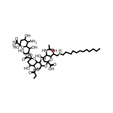 CCCCCCCCCCCCNCC(O)C1OC(OC(CO)C(O)C2OC(OC(CO)C(O)C3OC(O)(C(=O)O)CC(O)C3N)(C(=O)O)CC(O)C2NC(=O)CC)(C(=O)O)CC(O)C1NC(C)=O